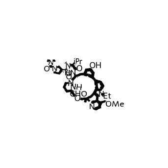 CCn1c(-c2cnccc2COC)c2c3cc(ccc31)-c1cc(O)cc(c1)C[C@H](NC(=O)[C@H](C(C)C)N(C)C(=O)[C@H]1CCN(C(=O)N(C)C)C1)C(=O)N1CCCC(C=O)(COCC(C)(C)C2)N1